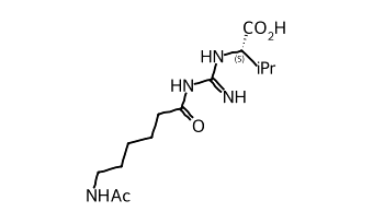 CC(=O)NCCCCCC(=O)NC(=N)N[C@H](C(=O)O)C(C)C